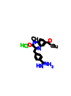 Cl.Cn1c(=O)c(Cc2ccc(C(=N)N)cc2)nc2cc(C(=O)C(C)(C)C)ccc21